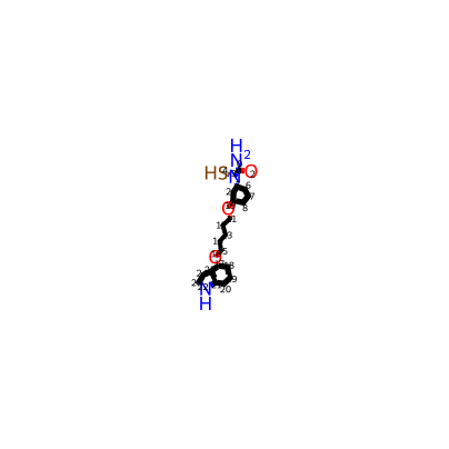 NC(=O)N(S)c1cccc(OCCCCCOc2cccc3[nH]ccc23)c1